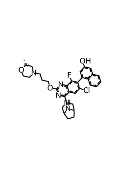 C[C@@H]1CN(CCCOc2nc(N3CC4CCC(C3)N4)c3cc(Cl)c(-c4cc(O)cc5ccccc45)c(F)c3n2)CCO1